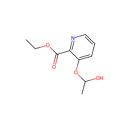 CCOC(=O)c1ncccc1OC(C)O